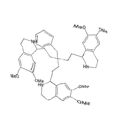 COc1cc2c(cc1OC)C(CCC(CCC1NCCc3cc(OC)c(OC)cc31)(CCC1NCCc3cc(OC)c(OC)cc31)Cc1ccccc1)NCC2